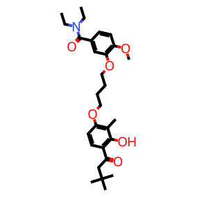 CCN(CC)C(=O)c1ccc(OC)c(OCCCCOc2ccc(C(=O)CC(C)(C)C)c(O)c2C)c1